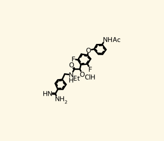 CCOC(C(=O)NCc1ccc(C(=N)N)cc1)c1c(F)cc(Oc2cccc(NC(C)=O)c2)cc1F.Cl